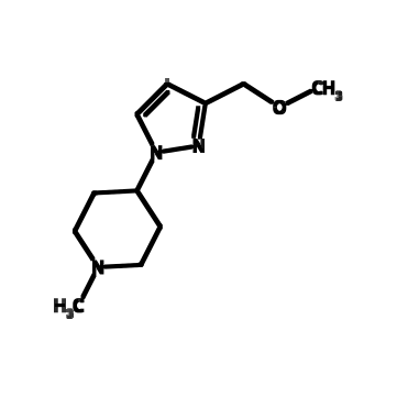 COCc1[c]cn(C2CCN(C)CC2)n1